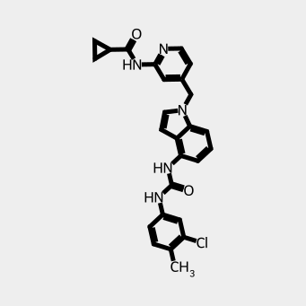 Cc1ccc(NC(=O)Nc2cccc3c2ccn3Cc2ccnc(NC(=O)C3CC3)c2)cc1Cl